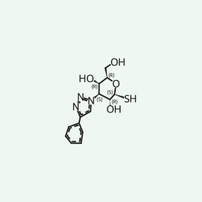 OC[C@H]1O[C@@H](S)[C@H](O)[C@@H](n2cc(-c3ccccc3)nn2)[C@H]1O